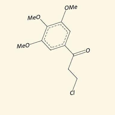 COc1cc(C(=O)CCCl)cc(OC)c1OC